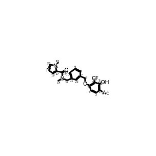 CC(=O)c1ccc(OCc2cccc(CN(C)C(=O)c3cncn3C)c2)c(C(F)(F)F)c1O